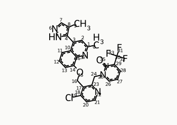 Cc1cc(-c2[nH]ncc2C)c2cccc(OCc3c(Cl)ccnc3Cn3cccc(C(F)(F)F)c3=O)c2n1